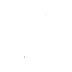 CCCCCCCCCCCCCC(=O)C[N+](=O)[O-]